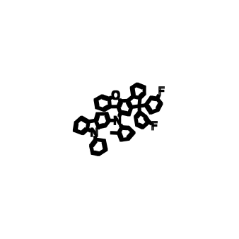 Cc1ccccc1N(c1ccc2c3ccccc3n(-c3ccccc3)c2c1)c1cc2c(c3oc4ccccc4c13)-c1ccccc1C2(c1cccc(F)c1)c1cccc(F)c1